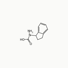 NN(C(=O)O)C1CCc2ccccc21